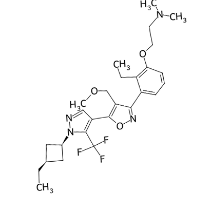 CCc1c(OCCN(C)C)cccc1-c1noc(-c2cnn([C@H]3C[C@@H](CC)C3)c2C(F)(F)F)c1COC